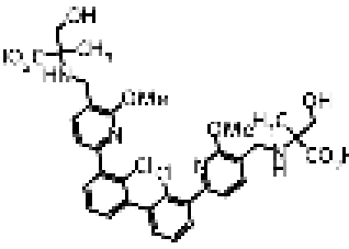 COc1nc(-c2cccc(-c3cccc(-c4ccc(CNC(C)(CO)C(=O)O)c(OC)n4)c3Cl)c2Cl)ccc1CNC(C)(CO)C(=O)O